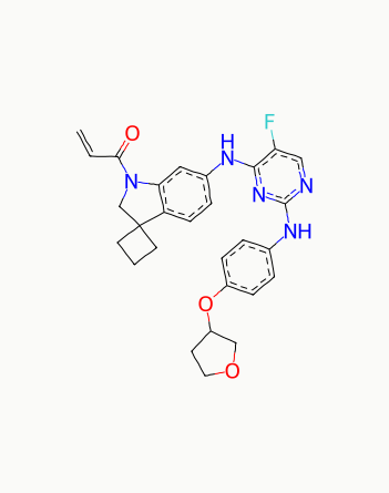 C=CC(=O)N1CC2(CCC2)c2ccc(Nc3nc(Nc4ccc(OC5CCOC5)cc4)ncc3F)cc21